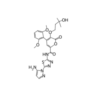 COc1cccc(OC)c1-c1cc(C(=O)Nc2nnc(-n3nccc3N)s2)oc(=O)c1OCCC(C)(C)O